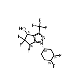 O[C@H]1c2c(C(F)(F)F)nn([C@H]3CC[C@H](F)[C@H](F)C3)c2[C@@H](F)C1(F)F